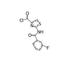 O=C(Nc1nc(C(=O)Cl)cs1)c1cccc(F)c1